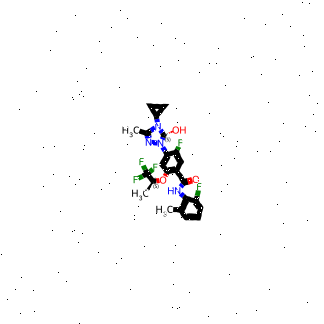 CC1=NN(c2cc(O[C@@H](C)C(F)(F)F)c(C(=O)Nc3c(C)cccc3F)cc2F)[C@@H](O)N1C1CC1